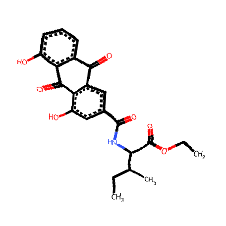 CCOC(=O)C(NC(=O)c1cc(O)c2c(c1)C(=O)c1cccc(O)c1C2=O)C(C)CC